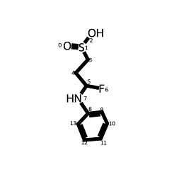 O=S(O)CCC(F)Nc1ccccc1